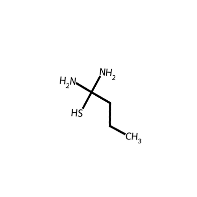 CCCC(N)(N)S